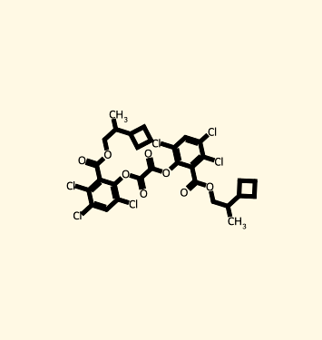 CC(COC(=O)c1c(Cl)c(Cl)cc(Cl)c1OC(=O)C(=O)Oc1c(Cl)cc(Cl)c(Cl)c1C(=O)OCC(C)C1CCC1)C1CCC1